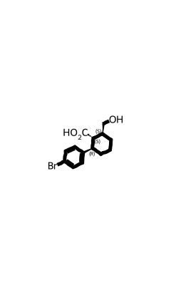 O=C(O)[C@@H]1[C@@H](CO)CCC[C@H]1c1ccc(Br)cc1